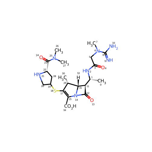 C[C@@H](NC(=O)CN(C)C(=N)N)[C@H]1C(=O)N2C(C(=O)O)=C(SC3CN[C@H](C(=O)N(C)C)C3)[C@H](C)[C@H]12